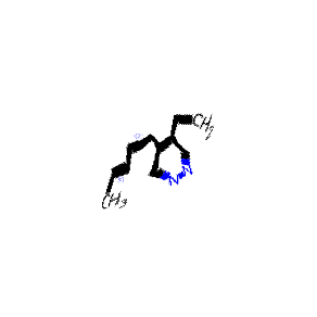 C=Cc1cnncc1/C=C\C=C\C